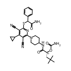 CC(C)(C)C[C@@H](OC(N)=O)C(=O)NC1CCN(c2nc(SC(C(N)=O)c3ccccc3)c(C#N)c(C3CC3)c2C#N)CC1